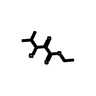 CCOC(=O)C(=O)C(Cl)C(C)C